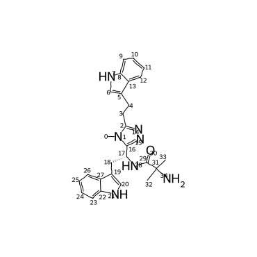 Cn1c(CCc2c[nH]c3ccccc23)nnc1[C@@H](Cc1c[nH]c2ccccc12)NC(=O)C(C)(C)N